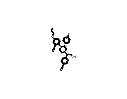 CCCOc1ccc(N2CCN([C@H](CO)c3ccc(C#N)cn3)C[C@H]2c2ccc(Cl)cc2)c(C#N)c1